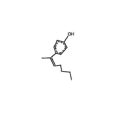 CCCC/C=C(/C)c1ccc(O)cc1